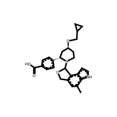 Cc1cc2c(c3cc[nH]c13)C(N1CC[C@H](OCC3CC3)C[C@H]1c1ccc(C(=O)O)cc1)OC2